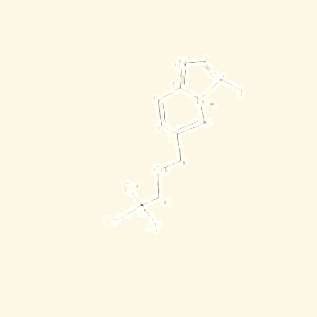 Cc1cnc2ccc(COCC(F)(F)F)cn12